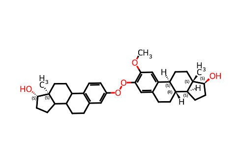 COc1cc2c(cc1OOc1ccc3c(c1)CCC1C3CC[C@@]3(C)C1CC[C@@H]3O)CC[C@@H]1[C@@H]2CC[C@]2(C)[C@@H](O)CC[C@@H]12